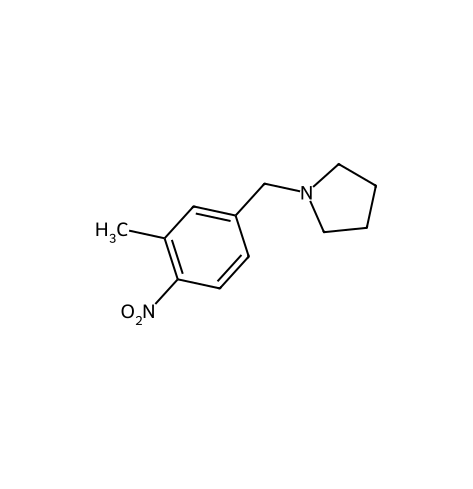 Cc1cc(CN2CCCC2)ccc1[N+](=O)[O-]